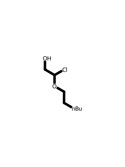 CCCCCCOC(Cl)CO